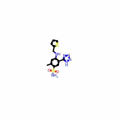 Cc1cc(NCc2cccs2)c(-c2nnn[nH]2)cc1S(N)(=O)=O